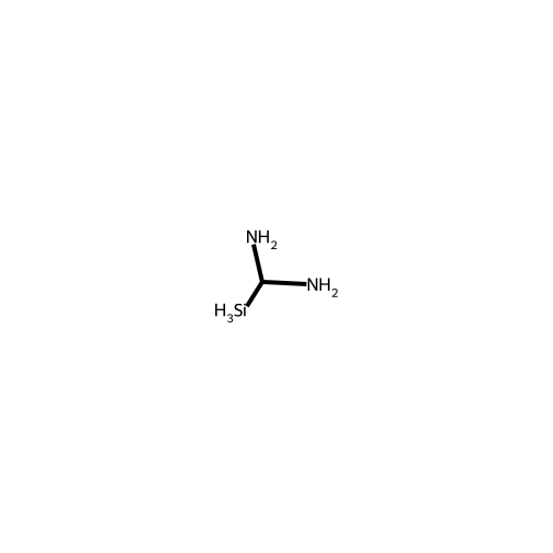 NC(N)[SiH3]